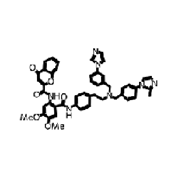 COc1cc(NC(=O)c2cc(=O)c3ccccc3o2)c(C(=O)Nc2ccc(CCN(Cc3ccc(-n4ccnc4C)cc3)Cc3cccc(-n4ccnc4)c3)cc2)cc1OC